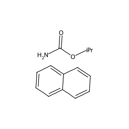 CC(C)OC(N)=O.c1ccc2ccccc2c1